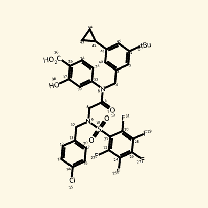 CC(C)(C)c1cc(CN(C(=O)CN(Cc2ccc(Cl)cc2)S(=O)(=O)c2c(F)c(F)c(F)c(F)c2F)c2ccc(C(=O)O)c(O)c2)cc(C2CC2)c1